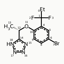 CCC(F)(F)c1cc(Br)ccc1O[C@@H](C)c1nnn[nH]1